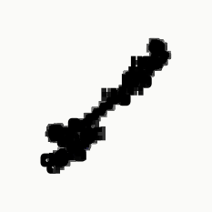 O=C(CNc1cc(C(=O)NCC(O)CN2CCc3ccccc3C2)ncn1)NCCCCCCCCCCCC(=O)NC(Cc1ccccc1)C(=O)N1C/C(=C\c2ccc(Cl)c(Cl)c2)C(=O)/C(=C/c2ccc(Cl)c(Cl)c2)C1